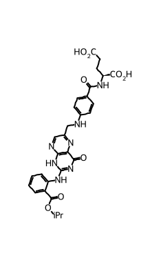 CC(C)OC(=O)c1ccccc1Nc1nc(=O)c2nc(CNc3ccc(C(=O)N[C@@H](CCC(=O)O)C(=O)O)cc3)cnc2[nH]1